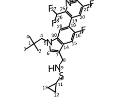 CC(C)(C)Cn1cc(CNSC2CC2)c2cc(F)c(-c3cc(F)cnc3C(F)F)cc21